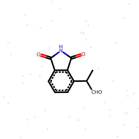 CC(C=O)c1cccc2c1C(=O)NC2=O